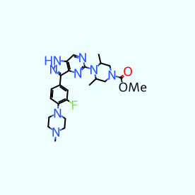 COC(=O)N1CC(C)N(c2ncc3[nH]nc(-c4ccc(N5CCN(C)CC5)c(F)c4)c3n2)C(C)C1